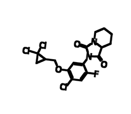 O=C1C2CCCCN2C(=O)N1c1cc(OCC2CC2(Cl)Cl)c(Cl)cc1F